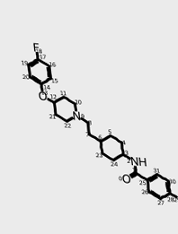 O=C(NC1CCC(CCN2CCC(Oc3ccc(F)cc3)CC2)CC1)c1ccc(Cl)cc1